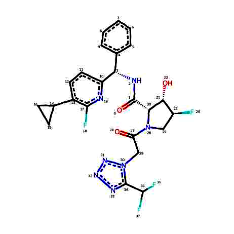 O=C(N[C@@H](c1ccccc1)c1ccc(C2CC2)c(F)n1)[C@@H]1[C@H](O)[C@@H](F)CN1C(=O)Cn1nnnc1C(F)F